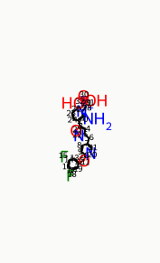 Nc1c(-c2cc(Cc3ccc(Oc4cc(F)cc(F)c4)nc3)no2)ccc[n+]1CP(=O)(O)O